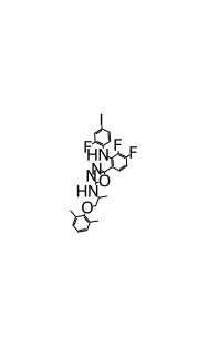 Cc1cccc(C)c1OCC(C)Nc1nnc(-c2ccc(F)c(F)c2Nc2ccc(I)cc2F)o1